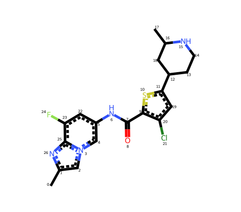 Cc1cn2cc(NC(=O)c3sc(C4CCNC(C)C4)cc3Cl)cc(F)c2n1